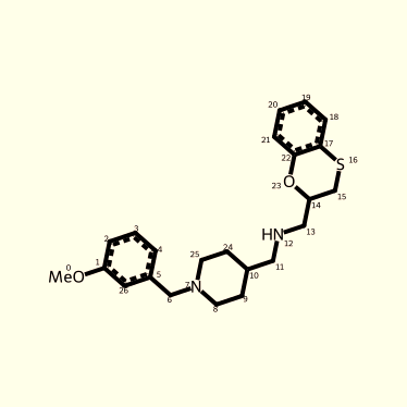 COc1cccc(CN2CCC(CNCC3CSc4ccccc4O3)CC2)c1